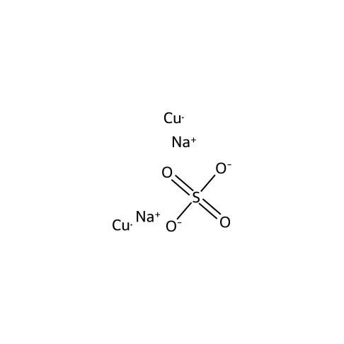 O=S(=O)([O-])[O-].[Cu].[Cu].[Na+].[Na+]